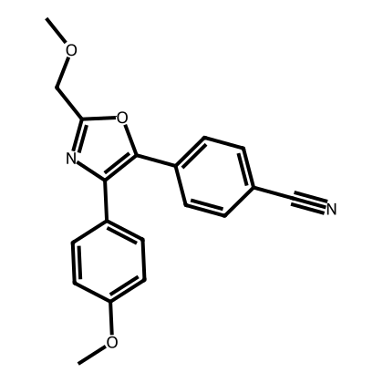 COCc1nc(-c2ccc(OC)cc2)c(-c2ccc(C#N)cc2)o1